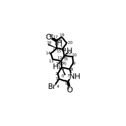 C[C@]12CC(Br)C(=O)NC1CC[C@@H]1[C@H]2CC[C@]2(C)C(=O)CC[C@@H]12